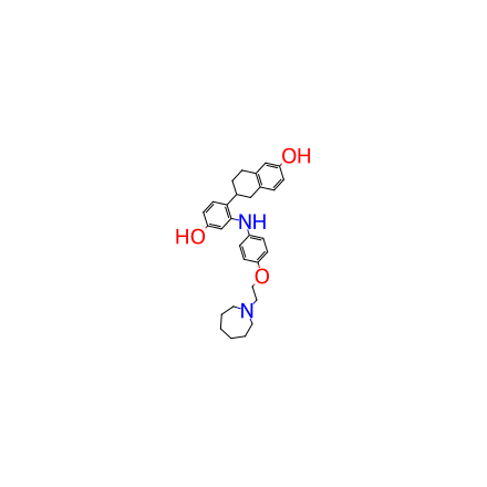 Oc1ccc2c(c1)CCC(c1ccc(O)cc1Nc1ccc(OCCN3CCCCCC3)cc1)C2